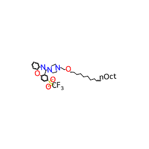 CCCCCCCC/C=C\CCCCCCCCOCCN1CCN(C2=Nc3ccccc3Oc3ccc(S(=O)(=O)C(F)(F)F)cc32)CC1